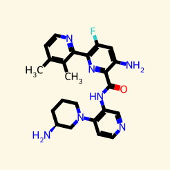 Cc1ccnc(-c2nc(C(=O)Nc3cnccc3N3CCC[C@H](N)C3)c(N)cc2F)c1C